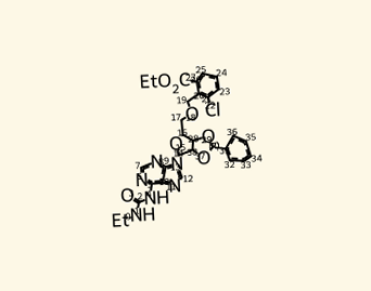 CCNC(=O)Nc1ncnc2c1ncn2C1OC(COCc2c(Cl)cccc2C(=O)OCC)C2O[C@@H](c3ccccc3)OC21